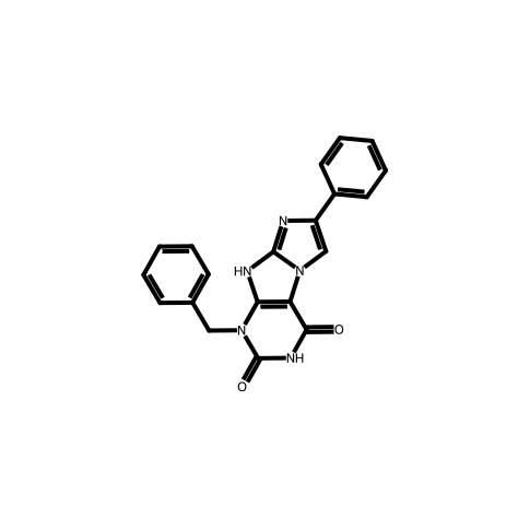 O=c1[nH]c(=O)n(Cc2ccccc2)c2[nH]c3nc(-c4ccccc4)cn3c12